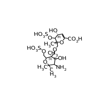 CC1(C)OC(COS(=O)(=O)O)[C@@](C)(COC[C@@]2(C)OC(C(=O)O)=C[C@@H](O)C2OS(=O)(=O)O)[C@@H](O)C1N